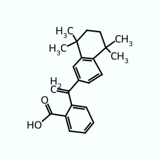 C=C(c1ccc2c(c1)C(C)(C)CCC2(C)C)c1ccccc1C(=O)O